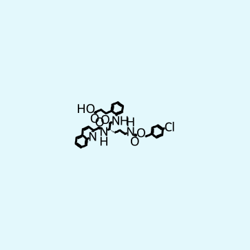 O=C(O)CCc1ccccc1NC(=O)[C@H](CCCNC(=O)OCc1ccc(Cl)cc1)NC(=O)c1ccc2ccccc2n1